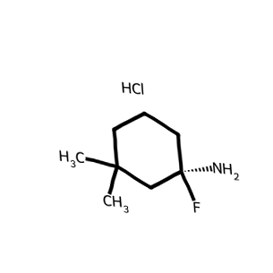 CC1(C)CCC[C@@](N)(F)C1.Cl